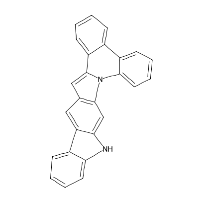 c1ccc2c(c1)[nH]c1cc3c(cc12)cc1c2ccccc2c2ccccc2n31